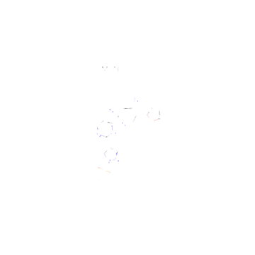 CNC1CCC(NC2=CC(N)(c3ccnc(-c4cnn(S(=O)(=O)C5CC5)c4)n3)NC=C2c2ccco2)CC1